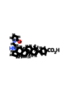 CC1(C)C(C2=CCC(C(=O)O)CC2)=CC[C@@]2(C)C1CCC1(C)C2CCC2[C@H]3CCCC3(NCCN3CCCC3=O)CC[C@]21C